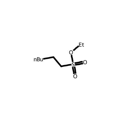 CCCCCCS(=O)(=O)OCC